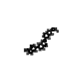 CC1Cc2ccc(OCc3cc(-c4cnc5[nH]ccc5c4)ccc3F)cc2C1